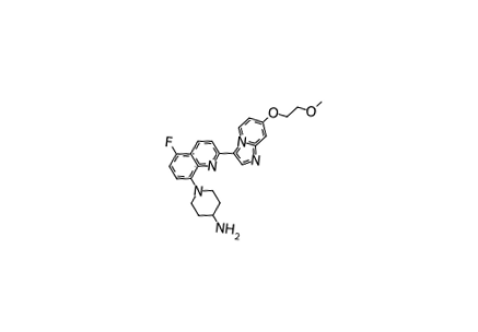 COCCOc1ccn2c(-c3ccc4c(F)ccc(N5CCC(N)CC5)c4n3)cnc2c1